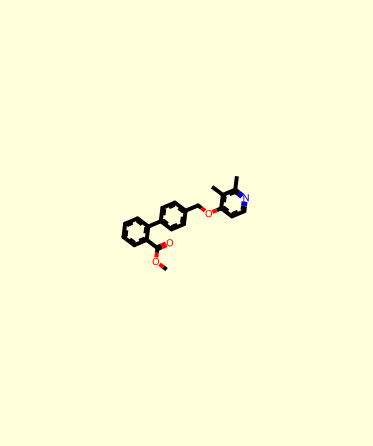 COC(=O)c1ccccc1-c1ccc(COc2ccnc(C)c2C)cc1